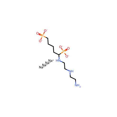 NCCNCCNC(CCCCP(=O)([O-])[O-])P(=O)([O-])[O-].[Na+].[Na+].[Na+].[Na+]